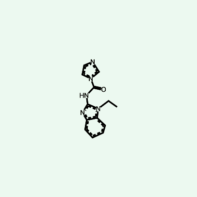 CCn1c(NC(=O)n2ccnc2)nc2ccccc21